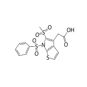 CS(=O)(=O)c1c(CC(=O)O)c2ccsc2n1S(=O)(=O)c1ccccc1